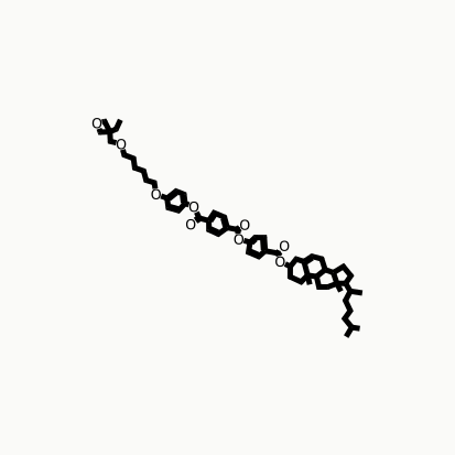 CCC1(COCCCCCCOc2ccc(OC(=O)c3ccc(C(=O)Oc4ccc(C(=O)OC5CCC6(C)C(=CCC7C6CCC6(C)C(C(C)CCCC(C)C)CCC76)C5)cc4)cc3)cc2)COC1